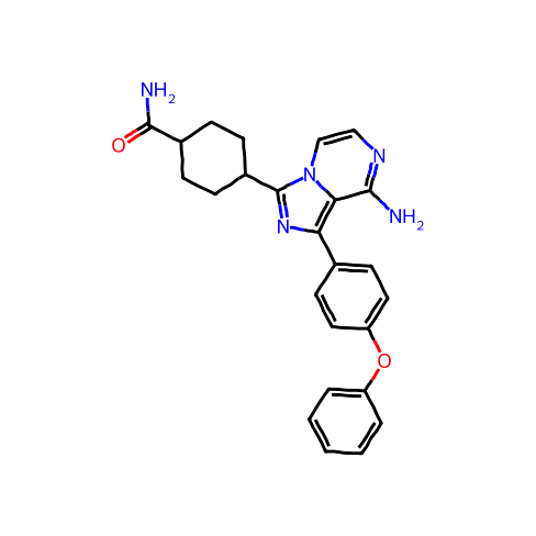 NC(=O)C1CCC(c2nc(-c3ccc(Oc4ccccc4)cc3)c3c(N)nccn23)CC1